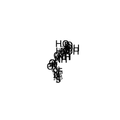 O=C(NC[C@H]1CN(c2ccc(N3CCSCC3)c(F)c2)C(=O)O1)Nc1ccc(CC([PH](=O)O)[PH](O)(O)O)cc1